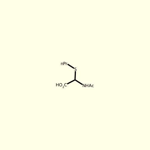 CCCSC(NC(C)=O)C(=O)O